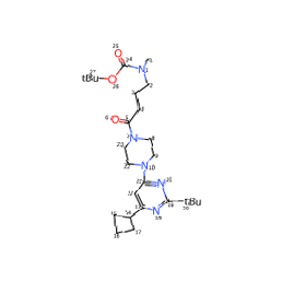 CN(CCCC(=O)N1CCN(c2cc(C3CCC3)nc(C(C)(C)C)n2)CC1)C(=O)OC(C)(C)C